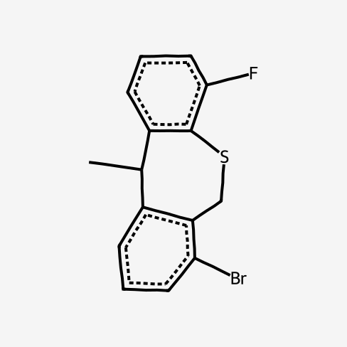 CC1c2cccc(Br)c2CSc2c(F)cccc21